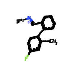 Cc1cc(F)ccc1-c1ccccc1/C=N/C(C)C